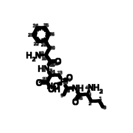 CCC[C@H](N)C(=O)NC(C)P(=O)(O)CC(NC(=O)[C@@H](N)Cc1ccccc1)C(=O)O